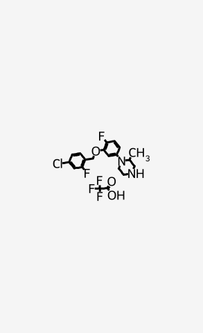 CC1CNCCN1c1ccc(F)c(OCc2ccc(Cl)cc2F)c1.O=C(O)C(F)(F)F